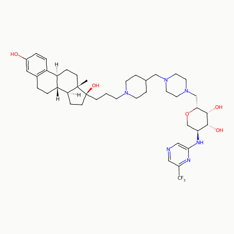 C[C@]12CC[C@@H]3c4ccc(O)cc4CC[C@H]3[C@@H]1CC[C@@]2(O)CCCN1CCC(CN2CCN(C[C@H]3OC[C@H](Nc4cncc(C(F)(F)F)n4)[C@@H](O)[C@H]3O)CC2)CC1